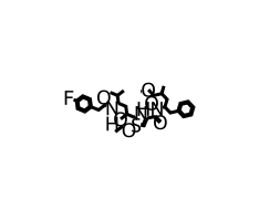 COC(=O)C(C)CC(Cc1ccccc1)NC(=O)c1csc(C(CC(NC(=O)Cc2ccc(F)cc2)C(C)C)OC(C)=O)n1